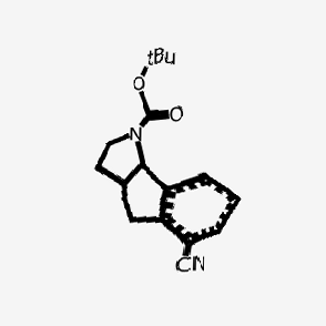 CC(C)(C)OC(=O)N1CCC2Cc3c(C#N)cccc3C21